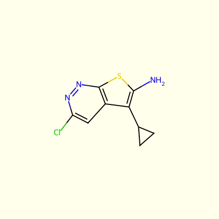 Nc1sc2nnc(Cl)cc2c1C1CC1